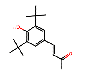 CC(=O)C=Cc1cc(C(C)(C)C)c(O)c(C(C)(C)C)c1